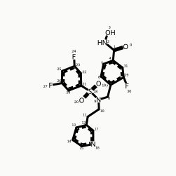 O=C(NO)c1ccc(CN(CCc2cccnc2)S(=O)(=O)c2cc(F)cc(F)c2)c(F)c1